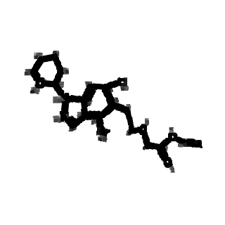 CC(C)(C)OC(=O)COCCc1c(Cl)cc2c(cnn2C2CCCCO2)c1Br